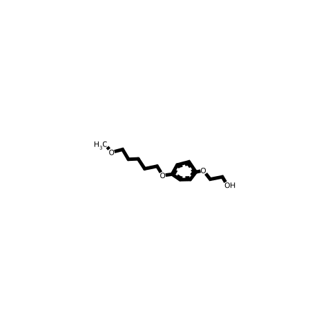 COCCCCCOc1ccc(OCCO)cc1